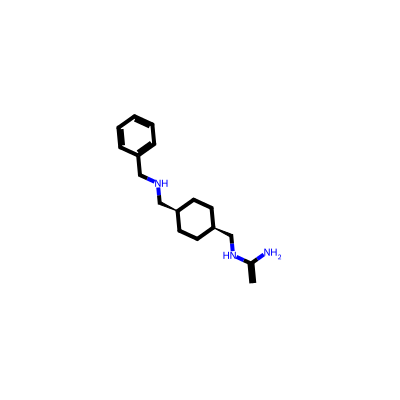 C=C(N)NC[C@H]1CC[C@@H](CNCc2ccccc2)CC1